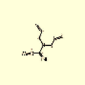 C=CCN(CC=C)C(=N)OC